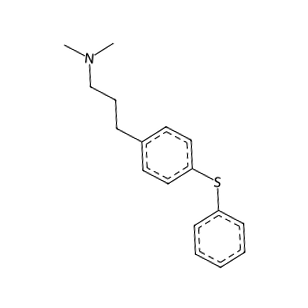 CN(C)CCCc1ccc(Sc2ccccc2)cc1